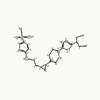 CCC(CC)c1nnc(N2CCC([C@H]3C[C@H]3CCOc3ccc(S(C)(=O)=O)cn3)CC2)o1